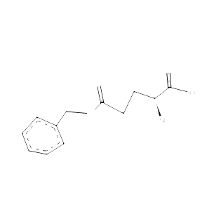 CCC(C)C(=O)[C@@H](N)CCC(=O)OCc1ccccc1